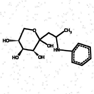 CC(CC1(O)OC[C@@H](O)[C@H](O)[C@H]1O)Nc1ccccc1